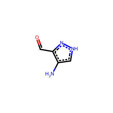 Nc1c[nH]nc1[C]=O